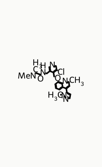 CNC(C)C(=O)NCc1cncc(Cl)c1COc1cccc2c(-c3ccnn3C)cc(C)nc12